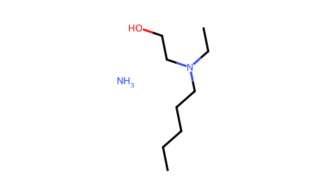 CCCCCN(CC)CCO.N